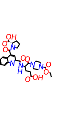 CCOC(=O)N1CCN(C(=O)C(CCC(=O)O)NC(=O)c2cc(C(=O)N3CCC[C@H]3C(=O)O)c3ccccc3n2)CC1